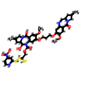 C=C1CC2C=Nc3cc(OCCCOc4cc5c(cc4OC)C(=O)N4CC(=C)CC4C(O)N5C(=O)OCC(S)SSc4cc([N+](=O)[O-])ccn4)c(OC)cc3C(=O)N2C1